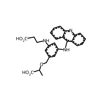 CC(OCc1cc(NCCC(=O)O)cc(Nc2c3ccccc3nc3ccccc23)c1)C(=O)O